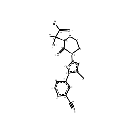 Cc1cc(N2CCO[C@H](C(C)(O)C(=O)O)C2=O)nn1-c1cnnc(C#N)c1